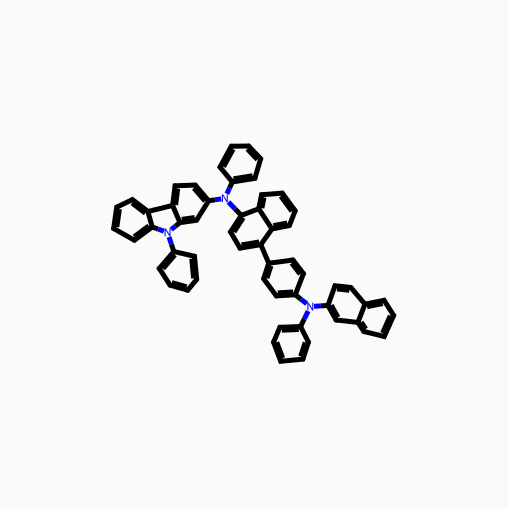 c1ccc(N(c2ccc(-c3ccc(N(c4ccccc4)c4ccc5c6ccccc6n(-c6ccccc6)c5c4)c4ccccc34)cc2)c2ccc3ccccc3c2)cc1